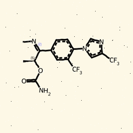 C/N=C(/c1ccc(-n2cnc(C(F)(F)F)c2)c(C(F)(F)F)c1)[C@H](C)OC(N)=O